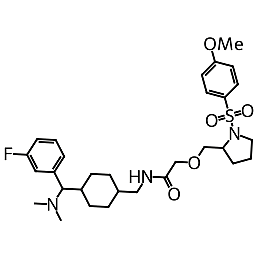 COc1ccc(S(=O)(=O)N2CCCC2COCC(=O)NCC2CCC(C(c3cccc(F)c3)N(C)C)CC2)cc1